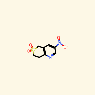 O=[N+]([O-])c1cnc2c(c1)CS(=O)(=O)CC2